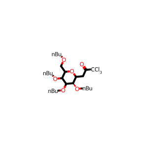 CCCCOCC1OC(CC(=O)C(Cl)(Cl)Cl)[C@@H](OCCCC)C(OCCCC)C1OCCCC